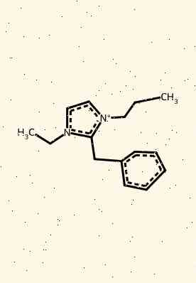 CCC[n+]1ccn(CC)c1Cc1ccccc1